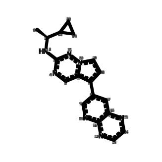 C[C@H](Nc1ncc2c(-c3cnc4nccnc4c3)ccn2n1)C1CC1